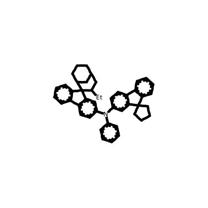 CCC1CC2CCCC(C2)C12c1ccccc1-c1ccc(N(c3ccccc3)c3ccc4c(c3)C3(CCCC3)c3ccccc3-4)cc12